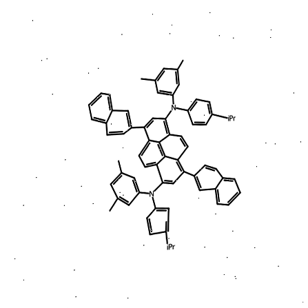 Cc1cc(C)cc(N(c2ccc(C(C)C)cc2)c2cc(-c3ccc4ccccc4c3)c3ccc4c(N(c5ccc(C(C)C)cc5)c5cc(C)cc(C)c5)cc(-c5ccc6ccccc6c5)c5ccc2c3c54)c1